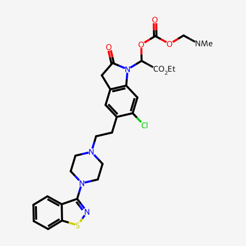 CCOC(=O)C(OC(=O)OCNC)N1C(=O)Cc2cc(CCN3CCN(c4nsc5ccccc45)CC3)c(Cl)cc21